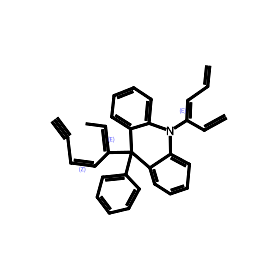 C#C/C=C\C(=C/C)C1(c2ccccc2)c2ccccc2N(/C(C=C)=C/C=C)c2ccccc21